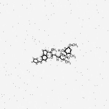 COc1cc(C)c(S(=O)(=O)N(C)CC(=O)NCC(=O)N(C)C2CCc3cc(CN4CCCC4)ccc32)c(C)c1